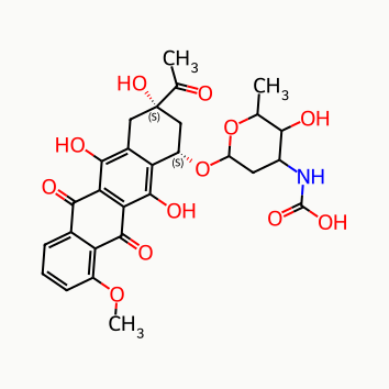 COc1cccc2c1C(=O)c1c(O)c3c(c(O)c1C2=O)C[C@@](O)(C(C)=O)C[C@@H]3OC1CC(NC(=O)O)C(O)C(C)O1